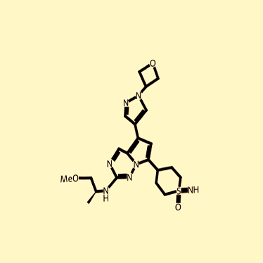 COC[C@H](C)Nc1ncc2c(-c3cnn(C4COC4)c3)cc(C3CCS(=N)(=O)CC3)n2n1